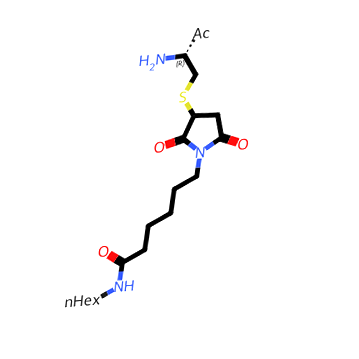 CCCCCCNC(=O)CCCCCN1C(=O)CC(SC[C@H](N)C(C)=O)C1=O